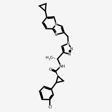 C[C@@H](NC(=O)[C@H]1CC1c1cccc(Cl)c1)c1cn(Cc2cn3cc(C4CC4)ccc3n2)nn1